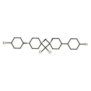 CCC1CCC(C2CC[C@]3(CC2)C[C@@]2(CC[C@H](C4CCC(CC)CC4)CC2)C3(Cl)Cl)CC1